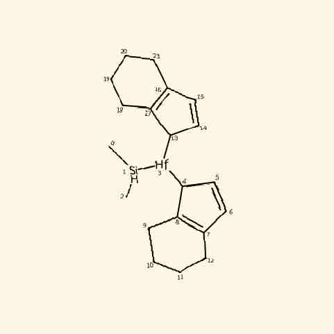 C[SiH](C)[Hf]([CH]1C=CC2=C1CCCC2)[CH]1C=CC2=C1CCCC2